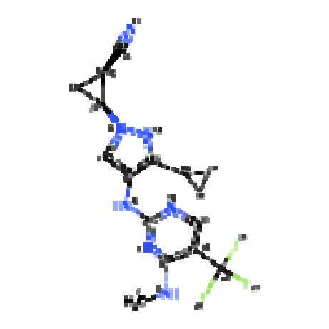 CNc1nc(Nc2cn([C@H]3C[C@H]3C#N)nc2C2CC2)ncc1C(F)(F)F